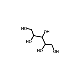 O[CH]C(O)C(O)C(O)CO